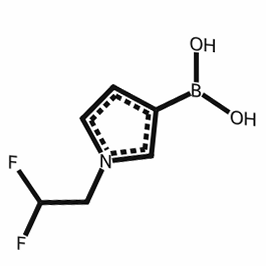 OB(O)c1ccn(CC(F)F)c1